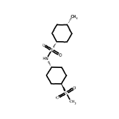 CS(=O)(=O)[C@H]1CC[C@H](NS(=O)(=O)[C@H]2CC[C@@H](C)CC2)CC1